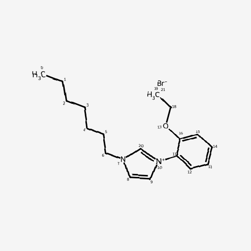 CCCCCCCn1cc[n+](-c2ccccc2OCC)c1.[Br-]